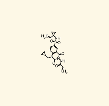 C=CC(=O)Nn1c(=O)c2cc(S(=O)(=O)NC3(C=C)CC3)ccc2n(CC2CC2)c1=O